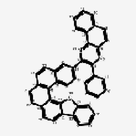 c1ccc(-c2nc3ccc4ccccc4c3nc2-c2ccc3c(ccc4ccc5ccc6c7ccccc7sc6c5c43)c2)cc1